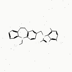 CCCc1nc2c(C)ccc(F)c2n1Cc1ccc2c(c1)CCc1ccccc1N2CC#N